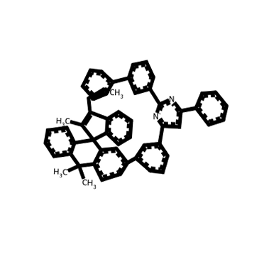 C/C=C\C1=C(C)C2(c3ccccc31)c1ccccc1C(C)(C)c1ccc(-c3cccc(-c4cc(-c5ccccc5)nc(-c5cccc(-c6ccccc6)c5)n4)c3)cc12